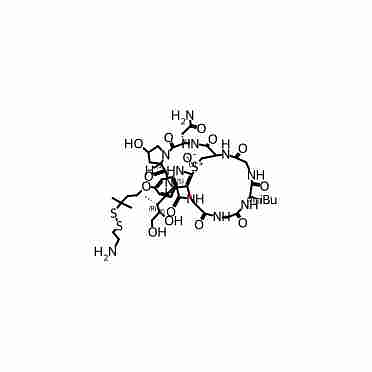 CC[C@H](C)[C@@H]1NC(=O)CNC(=O)C2Cc3c([nH]c4cc(OCCC(C)(C)SSCCN)ccc34)[S@+]([O-])CC(NC(=O)CNC1=O)C(=O)N[C@@H](CC(N)=O)C(=O)N1CC(O)C[C@H]1C(=O)N[C@@H]([C@@H](C)[C@@H](O)CO)C(=O)N2